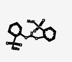 CNS(=O)(=O)c1ccccc1OBOc1ccccc1S(=O)(=O)NC